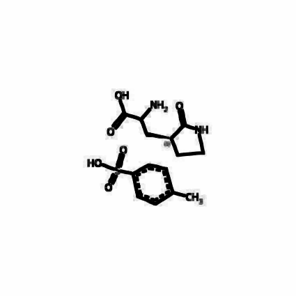 Cc1ccc(S(=O)(=O)O)cc1.NC(C[C@@H]1CCNC1=O)C(=O)O